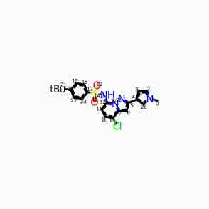 Cn1ccc(-c2cc3c(Cl)ccc(NS(=O)(=O)c4ccc(C(C)(C)C)cc4)n3n2)c1